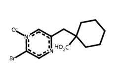 O=C(O)C1(Cc2c[n+]([O-])c(Br)cn2)CCCCC1